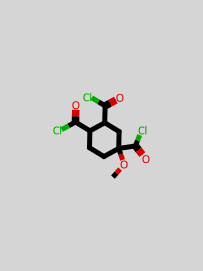 COC1(C(=O)Cl)CCC(C(=O)Cl)C(C(=O)Cl)C1